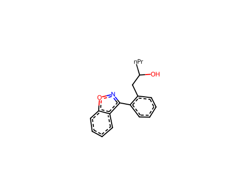 CCCC(O)Cc1ccccc1-c1noc2ccccc12